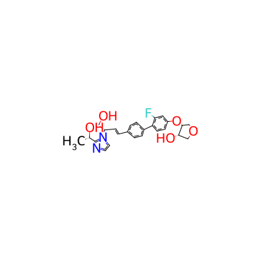 C[C@H](O)c1nccn1[C@@H](/C=C/c1ccc(-c2ccc(O[C@H]3COC[C@@H]3O)cc2F)cc1)CO